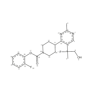 Cc1ncc(C(C)(F)CO)c(C2CCN(C(=O)Oc3ccccc3F)CC2)n1